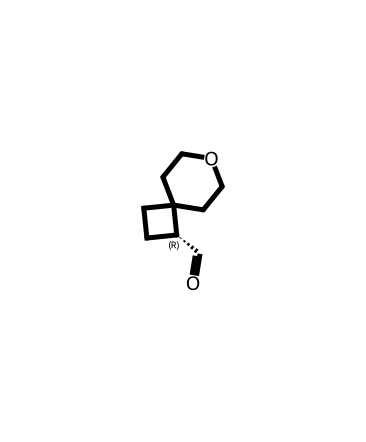 O=C[C@@H]1CCC12CCOCC2